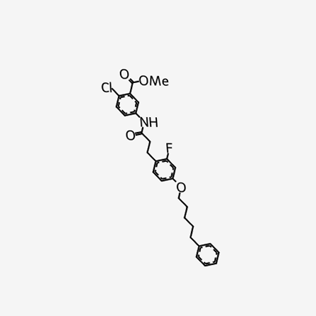 COC(=O)c1cc(NC(=O)CCc2ccc(OCCCCCc3ccccc3)cc2F)ccc1Cl